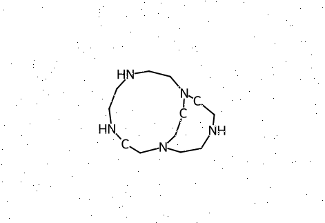 C1CNCCN2CCNCCN(CCN1)CC2